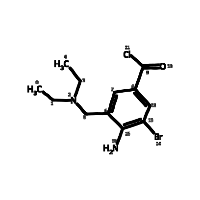 CCN(CC)Cc1cc(C(=O)Cl)cc(Br)c1N